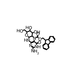 Nc1nc2c(c(=O)[nH]1)N(C(=O)OCC1c3ccccc3-c3ccccc31)C1C(N2)OC(CO)C(O)C1O